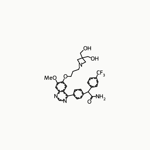 COc1cc2ncnc(-c3ccc(C(C(N)=O)c4ccc(C(F)(F)F)cc4)cc3)c2cc1OCCCN1CC(CO)(CO)C1